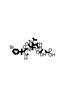 CN[C@@H](C(=O)N[C@H](C(=O)N(C)[C@H](/C=C(\C)C(=O)N[C@H](CCC(=O)O)C(=O)O)C(C)C)C(C)(C)C)C(C)(C)c1cccc(Br)c1